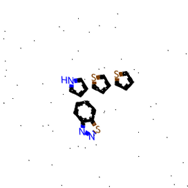 c1cc[nH]c1.c1ccc2snnc2c1.c1ccsc1.c1ccsc1